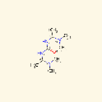 CC(NC(=O)NC(C)N(C)C)N(C)C